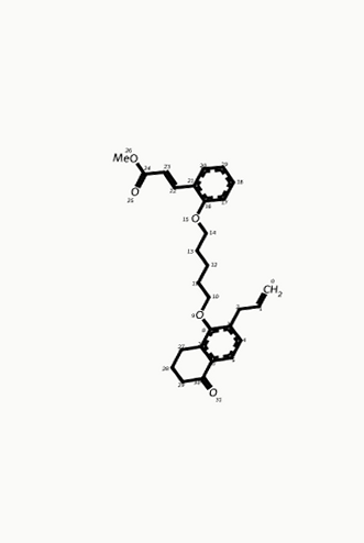 C=CCc1ccc2c(c1OCCCCCOc1ccccc1C=CC(=O)OC)CCCC2=O